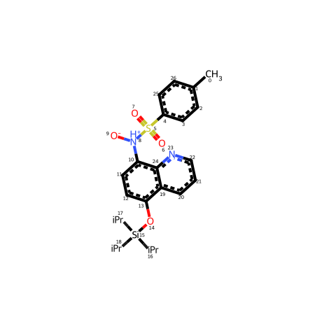 Cc1ccc(S(=O)(=O)[NH+]([O-])c2ccc(O[Si](C(C)C)(C(C)C)C(C)C)c3cccnc23)cc1